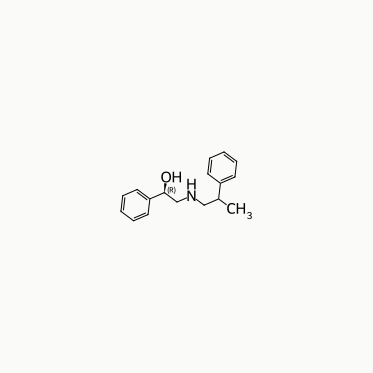 CC(CNC[C@H](O)c1ccccc1)c1ccccc1